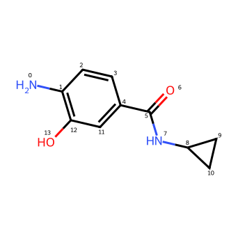 Nc1ccc(C(=O)NC2CC2)cc1O